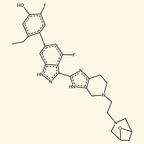 CCc1cc(O)c(F)cc1-c1cc(F)c2c(-c3nc4c([nH]3)CN(CCN3CC5CC(C3)O5)CC4)n[nH]c2c1